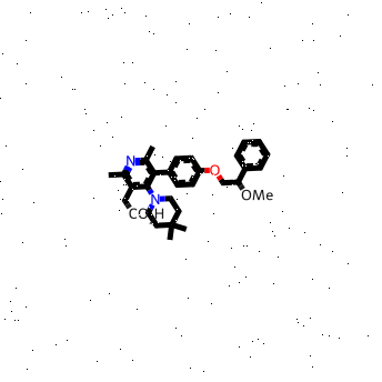 COC(COc1ccc(-c2c(C)nc(C)c(CC(=O)O)c2N2CCC(C)(C)CC2)cc1)c1ccccc1